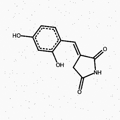 O=C1CC(=Cc2ccc(O)cc2O)C(=O)N1